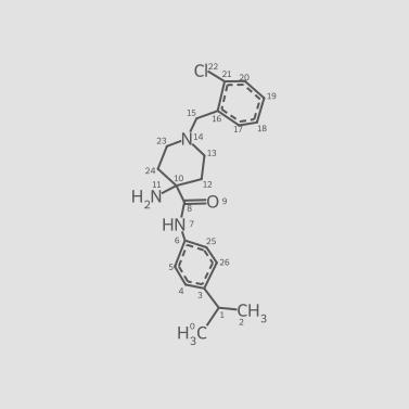 CC(C)c1ccc(NC(=O)C2(N)CCN(Cc3ccccc3Cl)CC2)cc1